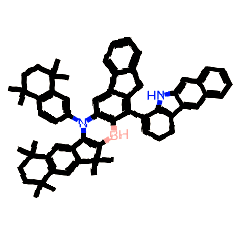 CC1(C)CCC(C)(C)c2cc(N3C4=C(Bc5c3cc3c(c5C5=CCCc6c5[nH]c5cc7ccccc7cc65)Cc5ccccc5-3)C(C)(C)c3cc5c(cc34)C(C)(C)CCC5(C)C)ccc21